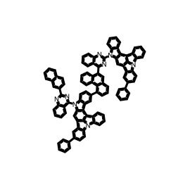 c1ccc(-c2ccc3c(c2)c2cc4c(c5ccccc5n4-c4nc(-c5cc6cccc(-c7ccc8c(c7)c7c9c%10ccccc%10n%10c%11ccc(-c%12ccccc%12)cc%11c(cc7n8-c7nc(-c8ccc%11ccccc%11c8)nc8ccccc78)c9%10)c6c6ccccc56)c5ccccc5n4)c4c5ccccc5n3c24)cc1